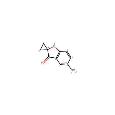 O=C1c2cc([N+](=O)[O-])ccc2OC12CC2